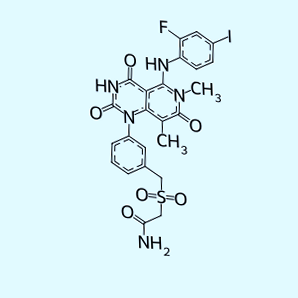 Cc1c(=O)n(C)c(Nc2ccc(I)cc2F)c2c(=O)[nH]c(=O)n(-c3cccc(CS(=O)(=O)CC(N)=O)c3)c12